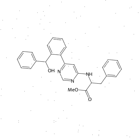 COC(=O)C(Cc1ccccc1)Nc1cc(-c2ccccc2C(O)c2ccccc2)ncn1